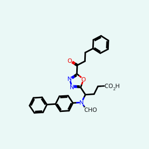 O=CN(c1ccc(-c2ccccc2)cc1)C(CCC(=O)O)c1nnc(C(=O)CCc2ccccc2)o1